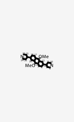 COc1c2ccc(-c3ccncc3)cc2c(OC)c2ccc(-c3ccncc3)cc12